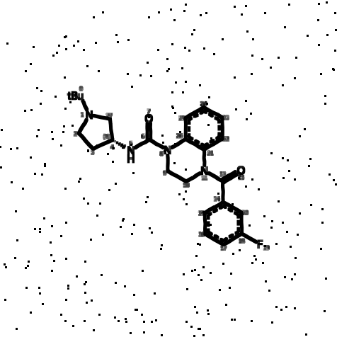 CC(C)(C)N1CC[C@@H](NC(=O)N2CCN(C(=O)c3cccc(F)c3)c3ccccc32)C1